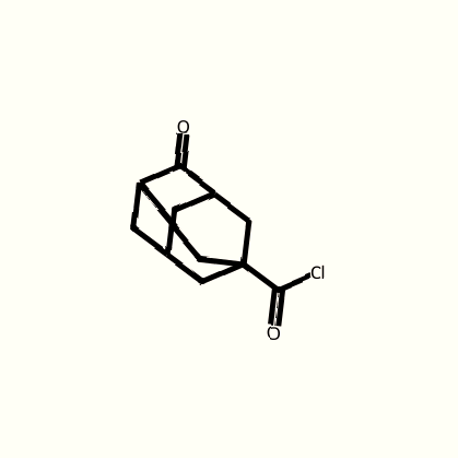 O=C1C2CC3CC1CC(C(=O)Cl)(C3)C2